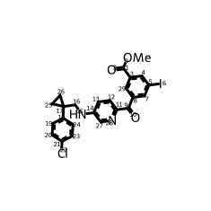 COC(=O)c1cc(I)cc(C(=O)c2ccc(NCC3(c4ccc(Cl)cc4)CC3)cn2)c1